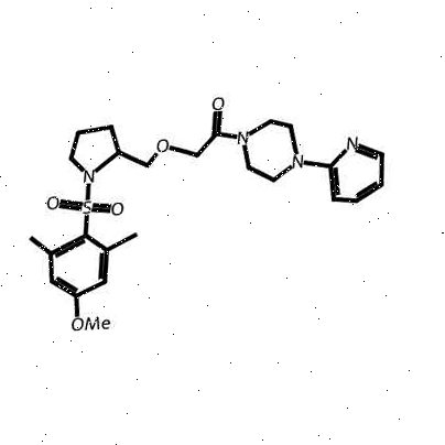 COc1cc(C)c(S(=O)(=O)N2CCCC2COCC(=O)N2CCN(c3ccccn3)CC2)c(C)c1